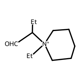 CCC(C=O)[N+]1(CC)CCCCC1